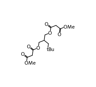 COC(=O)CC(=O)OCC(COC(=O)CC(=O)OC)CC(C)(C)C